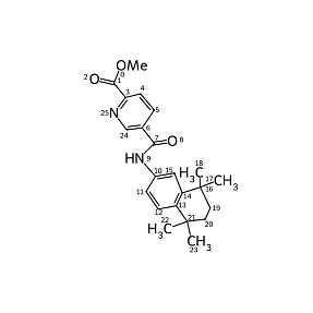 COC(=O)c1ccc(C(=O)Nc2ccc3c(c2)C(C)(C)CCC3(C)C)cn1